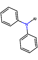 [Al][N](c1ccccc1)c1ccccc1